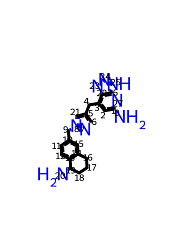 Nc1cc(Cc2cnn(Cc3ccc4c(c3)CCC[C@H]4N)c2)c2nn[nH]c2n1